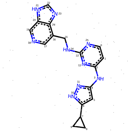 c1cc(Nc2cc(C3CC3)[nH]n2)nc(NCc2cncc3[nH]cnc23)n1